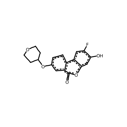 O=c1oc2cc(O)c(F)cc2c2ccc(OC3CCOCC3)cc12